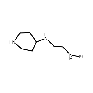 CCNCCNC1CCNCC1